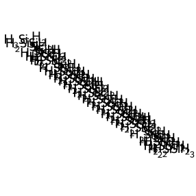 [SiH3][SiH2][SiH2][SiH2][SiH2][SiH2][SiH2][SiH2][SiH2][SiH2][SiH2][SiH2][SiH2][SiH2][SiH2][SiH2][SiH2][SiH2][SiH2][SiH2][SiH2][SiH2][SiH2][SiH2][SiH2][SiH2][SiH2][SiH2][SiH2][SiH2][SiH2][SiH2][SiH2][SiH2][SiH2][SiH2][SiH2][SiH2][SiH2][SiH2][SiH2][SiH2][SiH2][SiH2][SiH2][SiH2][SiH2][SiH2][SiH2][SiH2][SiH2][SiH2][SiH2][SiH2][SiH2][SiH2][SiH2][SiH2][SiH2][SiH2][SiH2][SiH2][SiH3]